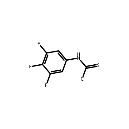 Fc1cc(NC(=S)Cl)cc(F)c1F